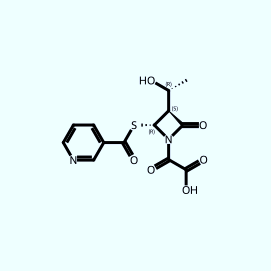 C[C@@H](O)[C@H]1C(=O)N(C(=O)C(=O)O)[C@@H]1SC(=O)c1cccnc1